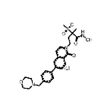 CC(CCn1ccc2cc(-c3ccc(CN4CCOCC4)cc3)ccc2c1=O)(C(=O)NO)S(C)(=O)=O.Cl